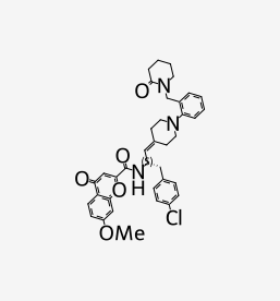 COc1ccc2c(=O)cc(C(=O)N[C@H](C=C3CCN(c4ccccc4CN4CCCCC4=O)CC3)Cc3ccc(Cl)cc3)oc2c1